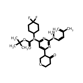 C=C(C)/C=C\N(N)c1nc(C2COCCC2=O)cc(N(C(=O)OC(C)(C)C)C2CCC(F)(F)CC2)n1